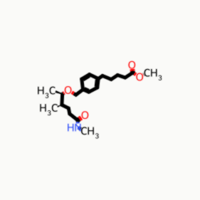 CNC(=O)CC[C@H](C)[C@@H](C)OCc1ccc(CCCCC(=O)OC)cc1